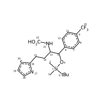 CC(C)(C)[Si](C)(C)OC(c1ccc(C(F)(F)F)cc1)C(CCc1nccs1)NC(=O)O